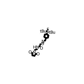 CC(C)(C)[Si](F)(c1ccc(/C=N/OCC(=O)NCCN2C(=O)C=CC2=O)cc1)C(C)(C)C